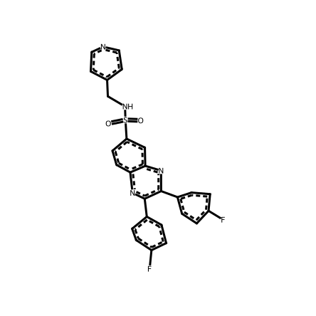 O=S(=O)(NCc1ccncc1)c1ccc2nc(-c3ccc(F)cc3)c(-c3ccc(F)cc3)nc2c1